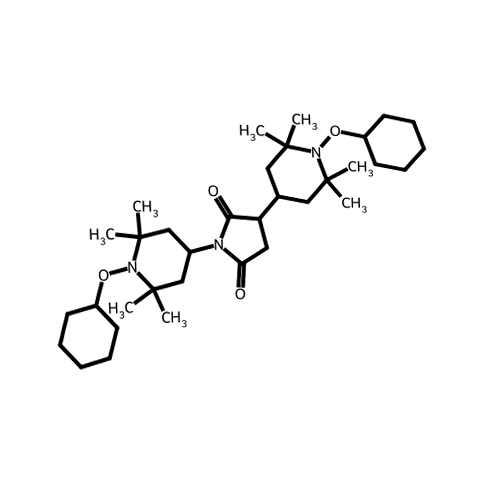 CC1(C)CC(C2CC(=O)N(C3CC(C)(C)N(OC4CCCCC4)C(C)(C)C3)C2=O)CC(C)(C)N1OC1CCCCC1